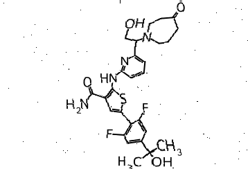 CC(C)(O)c1cc(F)c(-c2cc(C(N)=O)c(Nc3cccc(C(CO)N4CCCC(=O)CC4)n3)s2)c(F)c1